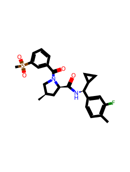 Cc1ccc([C@H](NC(=O)[C@H]2C[C@@H](C)CN2C(=O)c2cccc(S(C)(=O)=O)c2)C2CC2)cc1F